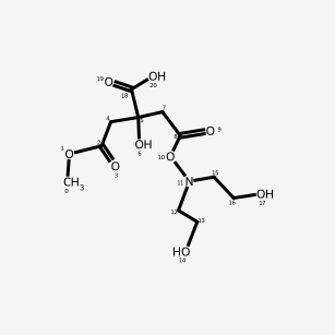 COC(=O)CC(O)(CC(=O)ON(CCO)CCO)C(=O)O